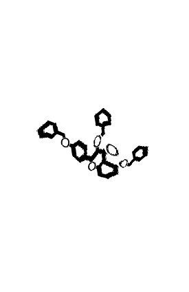 O=c1c(OCc2ccccc2)c(-c2ccc(OCc3ccccc3)cc2)oc2cccc(OCc3ccccc3)c12